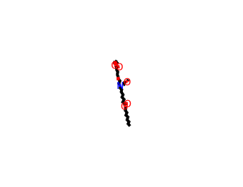 CCCCCCCCCOC(=O)CCCCCCCN(CCCCCCCC(=O)OC(C)(C)C)CCOC